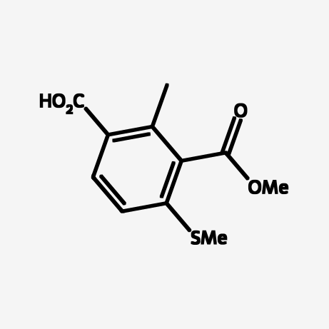 COC(=O)c1c(SC)ccc(C(=O)O)c1C